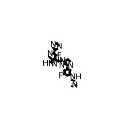 CN(C)CCNc1cc(F)cc(-c2nccc3[nH]c(-c4n[nH]c5cnc(-c6cncnc6)c(F)c45)nc23)c1